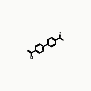 C=C(Cl)c1ccc(-c2ccc(C(C)=O)cc2)cc1